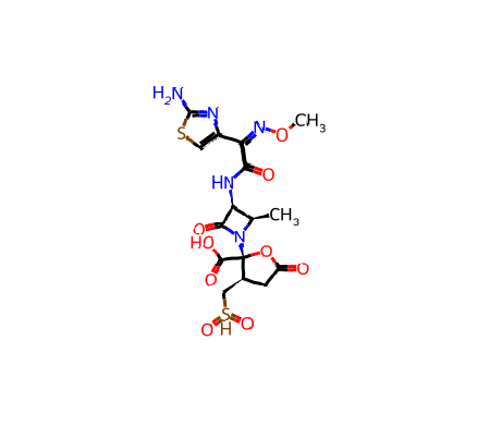 CO/N=C(\C(=O)N[C@@H]1C(=O)N([C@@]2(C(=O)O)OC(=O)C[C@H]2C[SH](=O)=O)[C@@H]1C)c1csc(N)n1